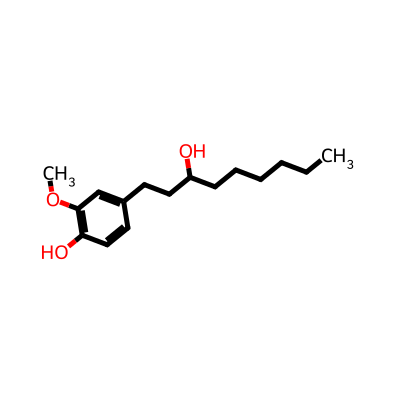 CCCCCCC(O)CCc1ccc(O)c(OC)c1